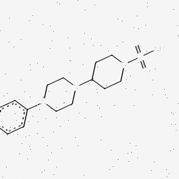 NS(=O)(=O)N1CCC(N2CCN(c3ccccc3)CC2)CC1